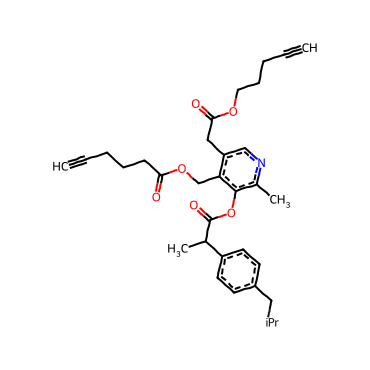 C#CCCCOC(=O)Cc1cnc(C)c(OC(=O)C(C)c2ccc(CC(C)C)cc2)c1COC(=O)CCCC#C